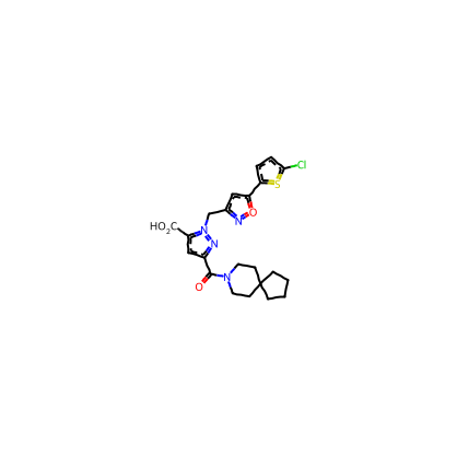 O=C(O)c1cc(C(=O)N2CCC3(CCCC3)CC2)nn1Cc1cc(-c2ccc(Cl)s2)on1